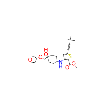 COC(=O)c1sc(C#CC(C)(C)C)cc1NC1CCC(O)(COC2CCOC2)CC1